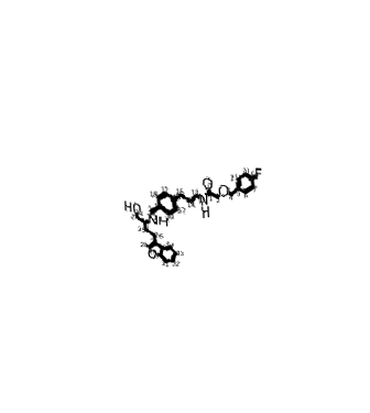 O=C(COCc1ccc(F)cc1)NCCCc1ccc(CNC(CO)CCc2coc3ccccc23)cc1